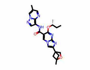 CC[C@@H](C)Oc1nc2nc(C34COC(C)(C3)C4)cn2cc1C(=O)Nc1cnn2cc(C)cnc12